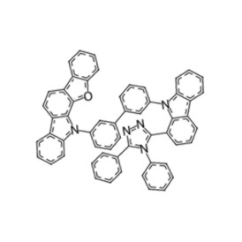 c1ccc(-c2nnc(-c3cccc4c5ccccc5n(-c5cccc(-c6cccc(-n7c8ccccc8c8ccc9c%10ccccc%10oc9c87)c6)c5)c34)n2-c2ccccc2)cc1